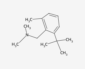 Cc1cccc(C(C)(C)C)c1CN(C)C